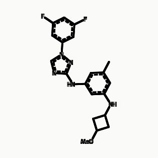 COC1CC(Nc2cc(C)cc(Nc3ncn(-c4cc(F)cc(F)c4)n3)c2)C1